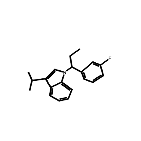 CCC(c1cccc(F)c1)n1cc(C(C)C)c2ccccc21